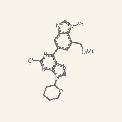 CCn1cnc2cc(-c3nc(Cl)nc4c3ncn4C3CCCCO3)cc(COC)c21